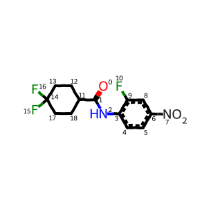 O=C(Nc1ccc([N+](=O)[O-])cc1F)C1CCC(F)(F)CC1